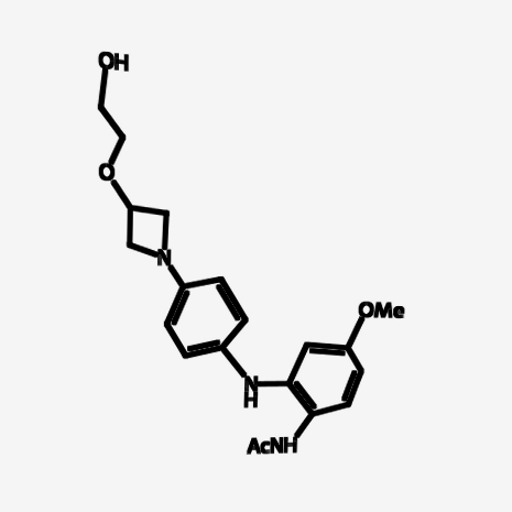 COc1ccc(NC(C)=O)c(Nc2ccc(N3CC(OCCO)C3)cc2)c1